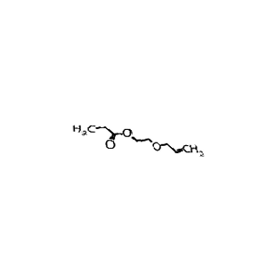 C=CCOCCOC(=O)CC